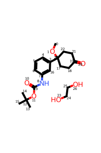 COC1(c2cccc(NC(=O)OC(C)(C)C)c2)CCC(=O)CC1.OCCO